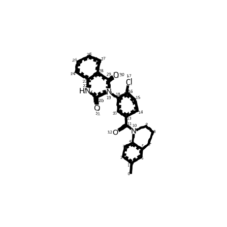 Cc1ccc2c(c1)CCCN2C(=O)c1ccc(Cl)c(-n2c(=O)[nH]c3ccccc3c2=O)c1